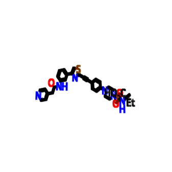 CC[C@@](C)(NS(=O)(=O)N1CCN(c2ccc(C#Cc3nc(-c4cccc(NC(=O)Cc5ccncc5)c4)cs3)cc2)CC1)C(=O)O